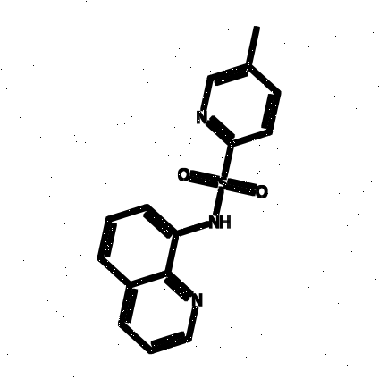 Cc1ccc(S(=O)(=O)Nc2cccc3cccnc23)nc1